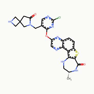 C[C@@H]1CNc2c(sc3ccc4nc(Oc5nc(Cl)ncc5CN5CC6(CNC6)CC5=O)cnc4c23)C(=O)N1